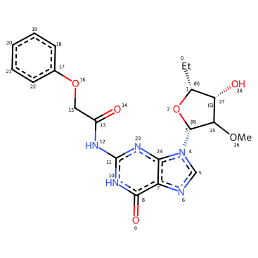 CC[C@H]1O[C@@H](n2cnc3c(=O)[nH]c(NC(=O)COc4ccccc4)nc32)C(OC)[C@H]1O